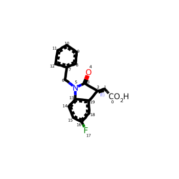 O=C(O)/C=C1/C(=O)N(Cc2ccccc2)c2ccc(F)cc21